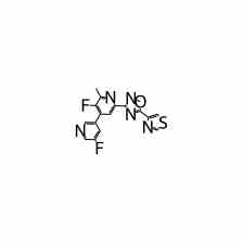 Cc1nc(-c2noc(-c3cscn3)n2)cc(-c2cncc(F)c2)c1F